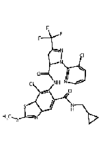 CSC1=NC2C=C(C(=O)NCC3CC3)C(NC(=O)C3CC(C(F)(F)F)=NN3c3ncccc3Cl)=C(Cl)C2S1